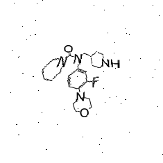 O=C(N1CCCCC1)N(CC1CCNCC1)c1ccc(N2CCOCC2)c(F)c1